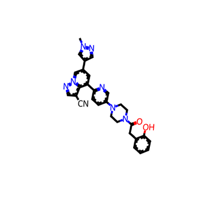 Cn1cc(-c2cc(-c3ccc(N4CCN(C(=O)Cc5ccccc5O)CC4)cn3)c3c(C#N)cnn3c2)cn1